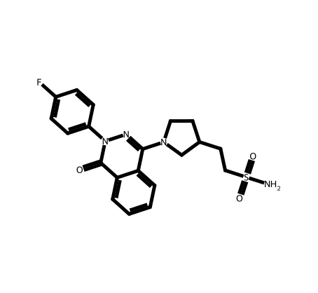 NS(=O)(=O)CCC1CCN(c2nn(-c3ccc(F)cc3)c(=O)c3ccccc23)C1